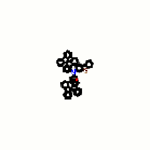 c1ccc(C2(c3ccccc3)c3ccccc3-c3cccc(-c4cccc(N(c5ccc6c(c5)sc5ccccc56)c5cccc6c5-c5ccccc5C65c6ccccc6-c6ccccc65)c4)c32)cc1